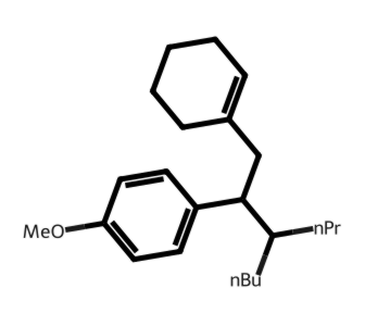 CCCCC(CCC)C(CC1=CCCCC1)c1ccc(OC)cc1